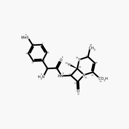 CSc1ccc(C(N)C(=O)NC2C(=O)N3C(C(=O)O)=CC(C)S[C@@H]23)cc1